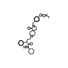 COc1ccc(CN2CCC3(CCN(CCC(C(=O)NC4CCCCC4)c4ccccc4)CC3)C2=O)cc1